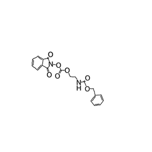 O=C(NCCOC(=O)ON1C(=O)c2ccccc2C1=O)OCc1ccccc1